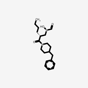 CCCC[C@H](CN(O)C=O)C(=O)N1CCC(Cc2ccccc2)CC1